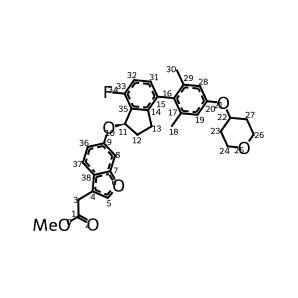 COC(=O)Cc1coc2cc(O[C@@H]3CCc4c(-c5c(C)cc(OC6CCOCC6)cc5C)ccc(F)c43)ccc12